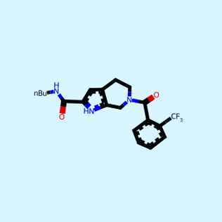 CCCCNC(=O)c1cc2c([nH]1)CN(C(=O)c1ccccc1C(F)(F)F)CC2